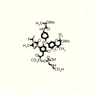 CCOC(=O)C(Cl)Cc1cc(-n2nc(C)n(C(F)F)c2=O)c(F)cc1Cl.CON(C)C(=O)Nc1ccc(Oc2ccc3c(c2)OC(C)(OC)CC3(C)C)cc1.O=C(O)CNCP(=O)(O)O